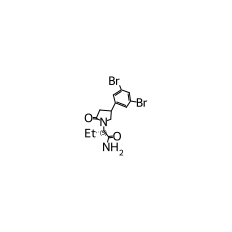 CC[C@@H](C(N)=O)N1CC(c2cc(Br)cc(Br)c2)CC1=O